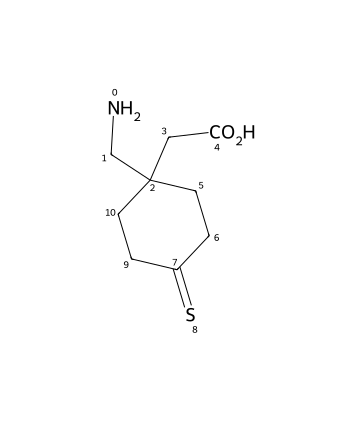 NCC1(CC(=O)O)CCC(=S)CC1